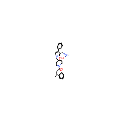 CC(CC(=O)N1CCC(O)(CN2C=C(CN(C)C)C(c3ccccc3)=CC2)CC1)c1ccccc1